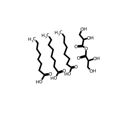 CCCCCCCC(=O)O.CCCCCCCC(=O)O.CCCCCCCC(=O)O.O=C(OC(=O)C(O)CO)C(O)CO